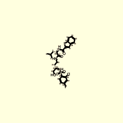 CC(C)C[C@H](NC(=O)c1cc2ccccc2s1)C(=O)NCC[C@@H](CO)NS(=O)(=O)c1ccc(F)cc1Cl